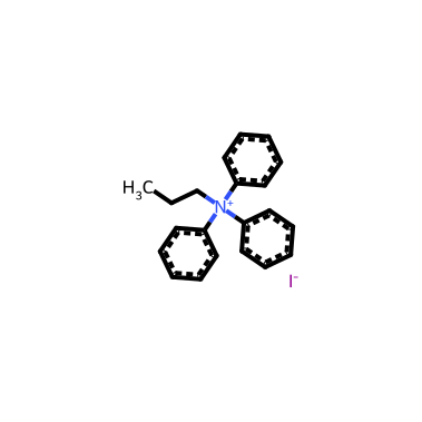 CCC[N+](c1ccccc1)(c1ccccc1)c1ccccc1.[I-]